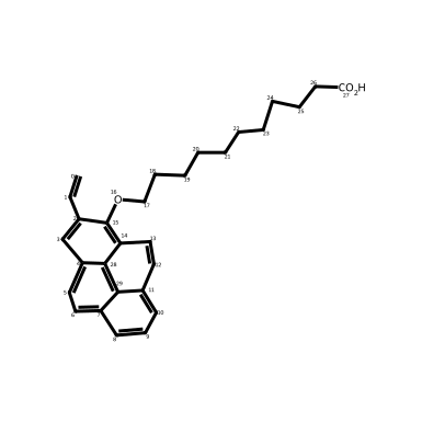 C=Cc1cc2ccc3cccc4ccc(c1OCCCCCCCCCCC(=O)O)c2c34